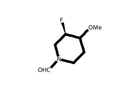 COC1CCN(C=O)C[C@H]1F